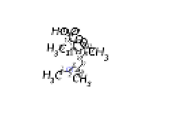 CC/C=C/C(CC)CCCC1(CC)CC(CC)C(CC(=O)O)OO1